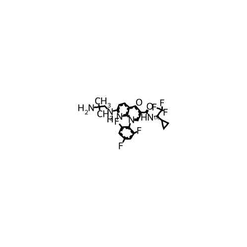 CC(C)(N)CNc1ccc2c(=O)c(C(=O)N[C@@H](C3CC3)C(F)(F)F)cn(-c3c(F)cc(F)cc3F)c2n1